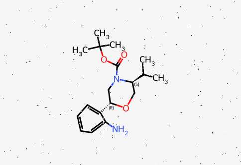 CC(C)[C@H]1CO[C@H](c2ccccc2N)CN1C(=O)OC(C)(C)C